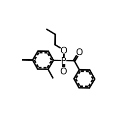 CCCOP(=O)(C(=O)c1ccccc1)c1ccc(C)cc1C